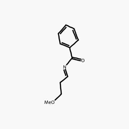 COCCC=NC(=O)c1ccccc1